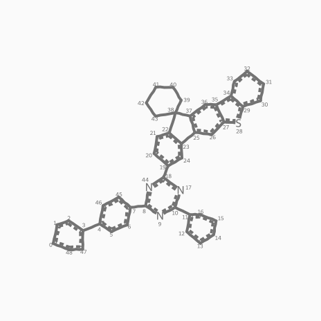 c1ccc(-c2ccc(-c3nc(-c4ccccc4)nc(-c4ccc5c(c4)-c4cc6sc7ccccc7c6cc4C54CCCCC4)n3)cc2)cc1